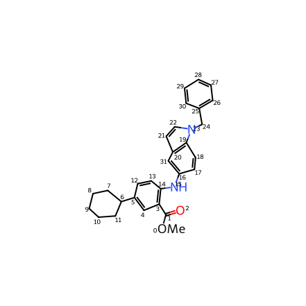 COC(=O)c1cc(C2CCCCC2)ccc1Nc1ccc2c(ccn2Cc2ccccc2)c1